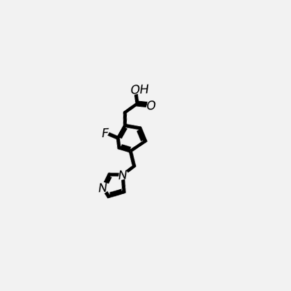 O=C(O)Cc1ccc(Cn2ccnc2)cc1F